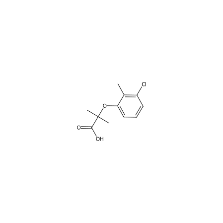 Cc1c(Cl)cccc1OC(C)(C)C(=O)O